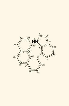 c1ccc2[nH]ccc2c1.c1ccc2c(c1)ccc1ccccc12